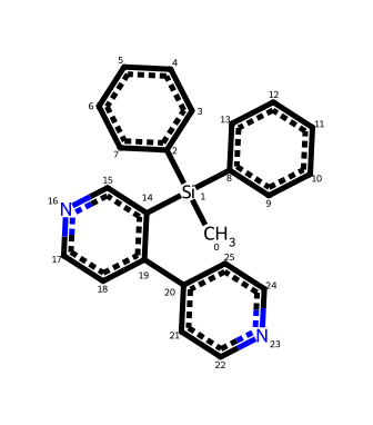 C[Si](c1ccccc1)(c1ccccc1)c1cnccc1-c1ccncc1